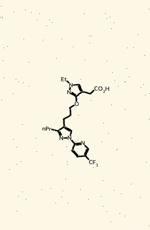 CCCc1nn(-c2ccc(C(F)(F)F)cn2)cc1CCCOc1nn(CC)cc1CC(=O)O